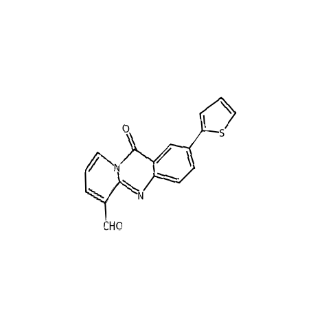 O=Cc1cccn2c(=O)c3cc(-c4cccs4)ccc3nc12